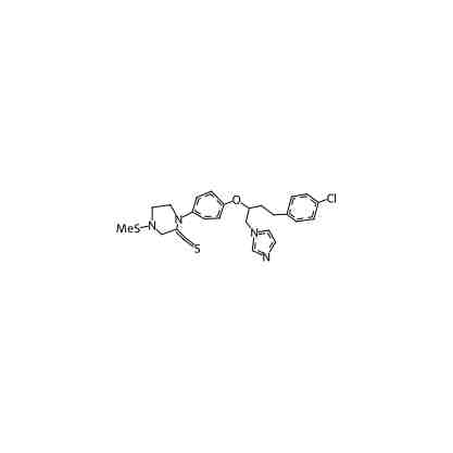 CSN1CCN(c2ccc(OC(CCc3ccc(Cl)cc3)Cn3ccnc3)cc2)C(=C=S)C1